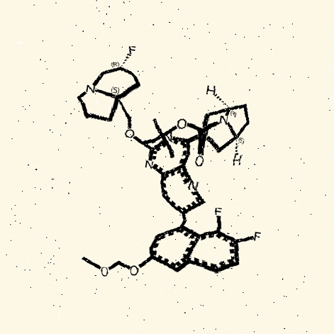 COCOc1cc(-c2cnc3c(N4C[C@H]5CC[C@@H](C4)N5C(=O)OC(C)(C)C)nc(OC[C@@]45CCCN4C[C@H](F)C5)nc3c2)c2c(F)c(F)ccc2c1